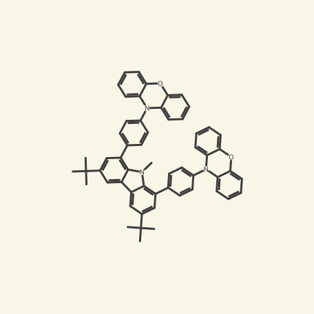 Cn1c2c(-c3ccc(N4c5ccccc5Oc5ccccc54)cc3)cc(C(C)(C)C)cc2c2cc(C(C)(C)C)cc(-c3ccc(N4c5ccccc5Oc5ccccc54)cc3)c21